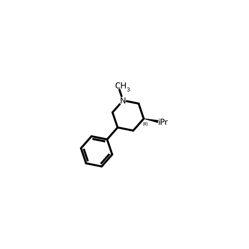 CC(C)[C@H]1CC(c2ccccc2)CN(C)C1